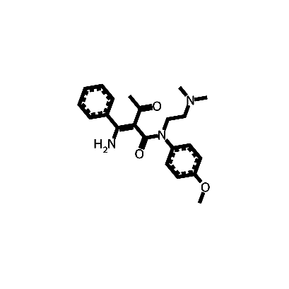 COc1ccc(N(CCN(C)C)C(=O)C(C(C)=O)=C(N)c2ccccc2)cc1